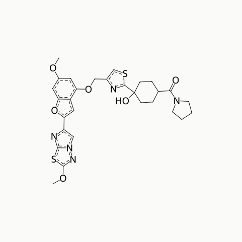 COc1cc(OCc2csc(C3(O)CCC(C(=O)N4CCCC4)CC3)n2)c2cc(-c3cn4nc(OC)sc4n3)oc2c1